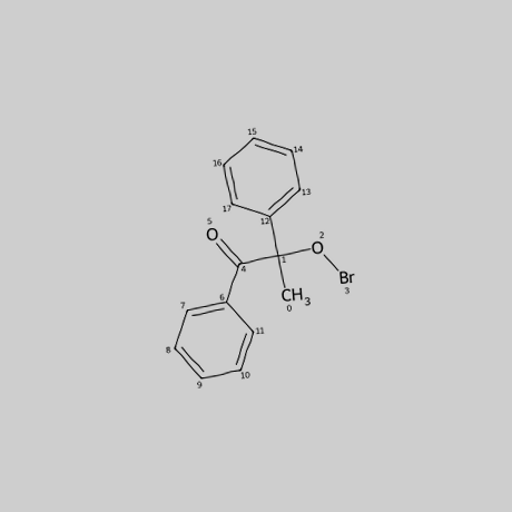 CC(OBr)(C(=O)c1ccccc1)c1ccccc1